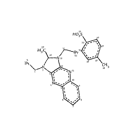 CC(C)CN1c2nc3ccccc3nc2N(CC(C)C)C1C.Cc1ccc(S(=O)(=O)O)cc1